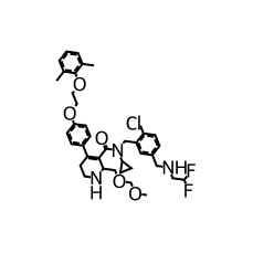 COCOCC1NCCC(c2ccc(OCCOc3c(C)cccc3C)cc2)=C1C(=O)N(Cc1cc(CNCC(F)F)ccc1Cl)C1CC1